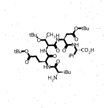 CC[C@H](C)[C@H](N)C(=O)N[C@@H](CCC(=O)OC(C)(C)C)C(=O)N[C@H](C(=O)N[C@@H](CC(=O)OC(C)(C)C)C(=O)N[C@H](C(=O)O)C(C)C)[C@@H](C)OC(C)(C)C